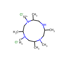 CC1CN(C)C(C)CN(C)C(C)C[N]([Ti+2])C(C)CN1.[Cl-].[Cl-]